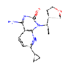 C[C@H]([C@H]1CCOC1)n1c(=O)nc(N)c2ccc(C3CC3)nc21